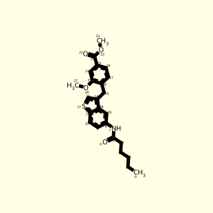 CCCCCC(=O)Nc1ccc2scc(Cc3ccc(C(=O)OC)cc3OC)c2c1